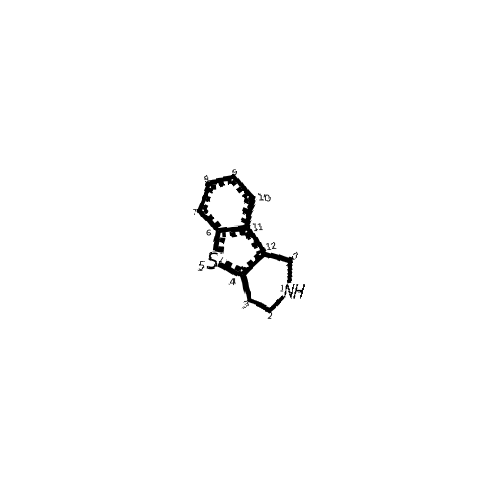 [C]1NCCc2sc3ccccc3c21